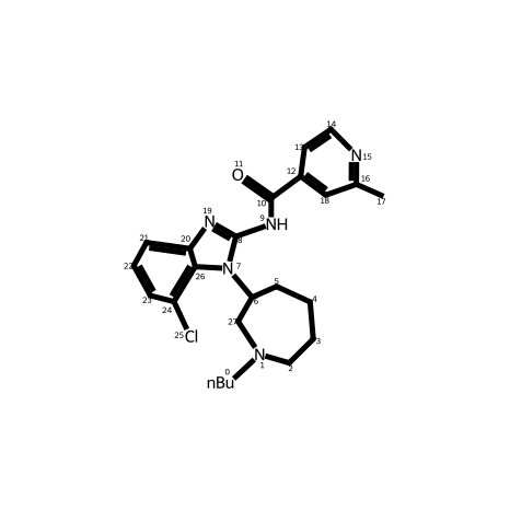 CCCCN1CCCCC(n2c(NC(=O)c3ccnc(C)c3)nc3cccc(Cl)c32)C1